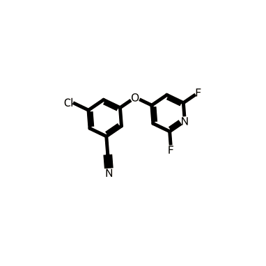 N#Cc1cc(Cl)cc(Oc2cc(F)nc(F)c2)c1